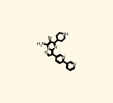 Nc1c(Br)c(C2CCNCC2)nc2c(-c3ccc(-c4cccnc4)nc3)cnn12